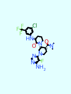 CN(C)C(=O)[C@H]1CCN(c2ncnc(N)c2F)C[C@@H]1N1CCC[C@H](Nc2cc(Cl)cc(C(F)(F)F)c2)C1=O